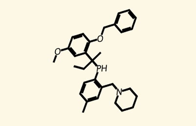 CCC(C)(Pc1ccc(C)cc1CN1CCCCC1)c1cc(OC)ccc1OCc1ccccc1